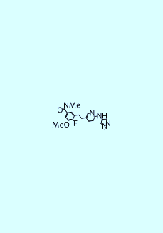 CNC(=O)c1cc(CCc2ccc(Nc3cnn(C)c3)nc2)c(F)c(OC)c1